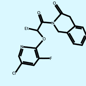 CCC(Oc1ncc(Cl)cc1F)C(=O)N1Cc2ccccc2CC1=O